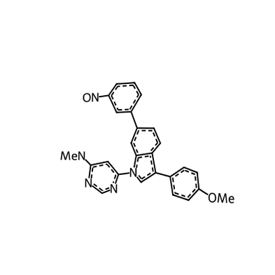 CNc1cc(-n2cc(-c3ccc(OC)cc3)c3ccc(-c4cccc(N=O)c4)cc32)ncn1